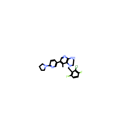 Cc1c(-c2ccc(N3CCCC3)nc2)cnc2c1N(Cc1c(F)ccc(F)c1Cl)CCN2